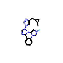 CC1CC1Cc1cn(N2C=NC3c4ccccc4N4CN(F)C=C4N32)nn1